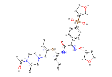 C=C/C=C(\NC(=O)/C(=N/O[C@@H]1CCOC1)c1ccc(S(=O)(=O)[C@H]2CCOC2)cc1)S/C(=C\C)CN1CCN(C(C)=O)[C@H](C)C1